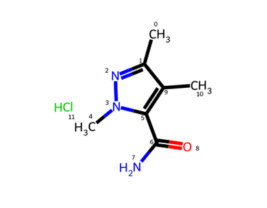 Cc1nn(C)c(C(N)=O)c1C.Cl